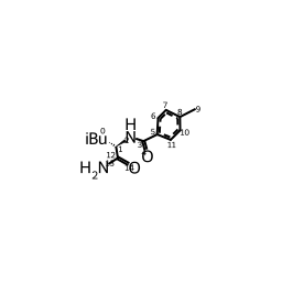 CC[C@@H](C)[C@@H](NC(=O)c1ccc(C)cc1)C(N)=O